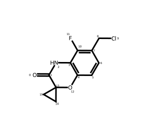 O=C1Nc2c(ccc(CCl)c2F)OC12CC2